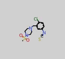 CS(=O)(=O)N1CCN(Cc2cc(N=C=S)ccc2Cl)CC1